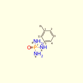 Cc1cccc(NP(N)(N)=O)c1